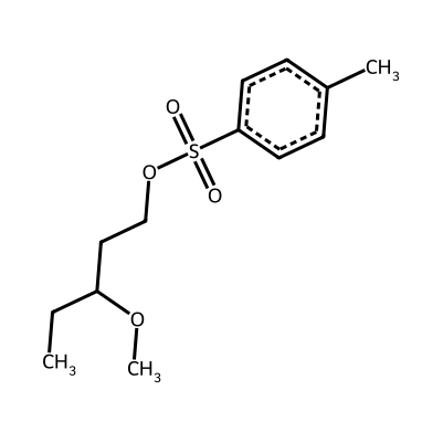 CCC(CCOS(=O)(=O)c1ccc(C)cc1)OC